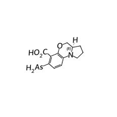 O=C(O)c1c([AsH2])ccc2c1OC[C@H]1CCCN21